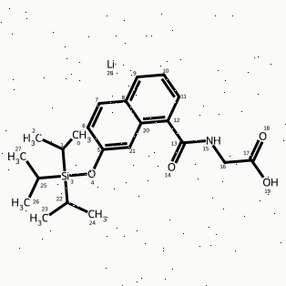 CC(C)[Si](Oc1ccc2cccc(C(=O)NCC(=O)O)c2c1)(C(C)C)C(C)C.[Li]